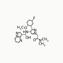 COc1ccc(F)cc1-c1nn(CC(=O)N(C)C)cc1NC(O)c1cnn2cccnc12